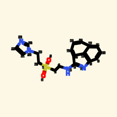 O=S(=O)(CCNC1=Nc2cccc3cccc1c23)CCn1ccnc1